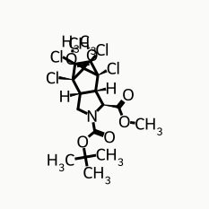 COC(=O)[C@@H]1[C@@H]2[C@H](CN1C(=O)OC(C)(C)C)[C@]1(Cl)C(Cl)=C(Cl)[C@@]2(Cl)C1(OC)OC